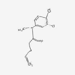 C=CCCC(=O)N(C)c1ccc(Cl)c(Cl)c1